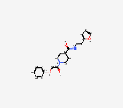 O=C(NCCc1ccco1)C1CCN(C(=O)COc2ccccc2)CC1